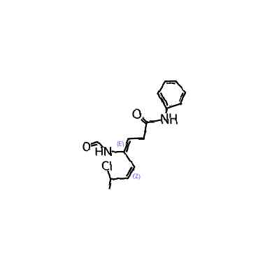 CC(Cl)/C=C\C(=C/CC(=O)Nc1ccccc1)NC=O